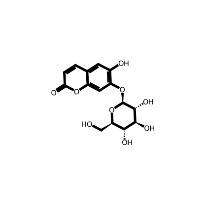 O=c1ccc2cc(O)c(O[C@@H]3O[C@H](CO)[C@@H](O)[C@H](O)[C@H]3O)cc2o1